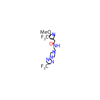 COc1ncc(CC(=O)NCCN2CCN(c3ncc(C(F)(F)F)cn3)CC2)cc1C(F)(F)F